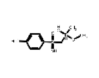 CO[PH](C)(O)CS(=N)(=O)c1ccc(C)cc1